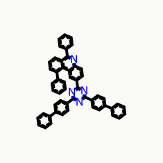 c1ccc(-c2ccc(-c3nc(-c4ccc(-c5ccccc5)cc4)nc(-c4ccc5nc(-c6ccccc6)c6cccc(-c7ccccc7)c6c5c4)n3)cc2)cc1